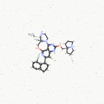 CC[C@@H]1NCCN2c3nc(OC[C@@]45CCCN4C[C@H](F)C5)nc4c(F)c(-c5cccc6cccc(Cl)c56)nc(c34)OC[C@H]12